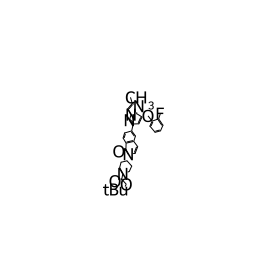 Cc1cn2nc(-c3ccc4c(=O)n(C5CCN(C(=O)OC(C)(C)C)CC5)ccc4c3)cc(Oc3ccccc3F)c2n1